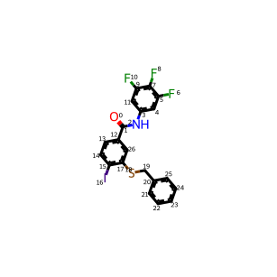 O=C(Nc1cc(F)c(F)c(F)c1)c1ccc(I)c(SCc2ccccc2)c1